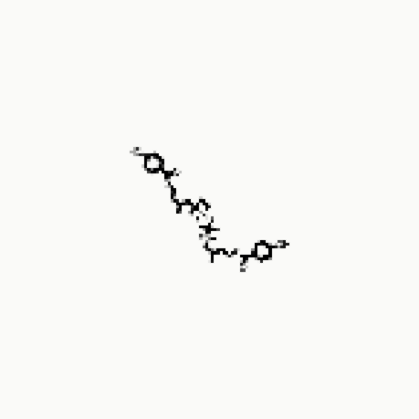 CC(CCOC(=O)c1ccc(O)cc1)CC1(C)CC[Si]1(C)OC(C)(C)[Si](C)(C)CC(C)CCOC(=O)c1ccc(O)cc1